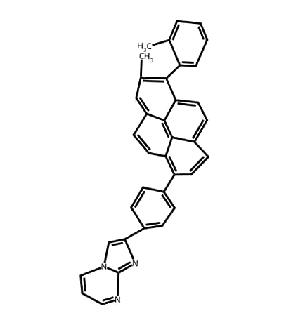 Cc1ccccc1-c1c(C)cc2ccc3c(-c4ccc(-c5cn6cccnc6n5)cc4)ccc4ccc1c2c43